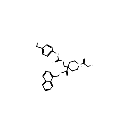 CCc1ccc(NC(=O)OCC2(C(=O)NCc3cccc4ccccc34)CCN(C(=O)CN)CC2)cc1